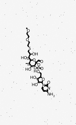 COCCOCCSC[C@@H](O)[C@@H](O)C1O[C@@](C=O)(OP(=O)(O)OCC2OC(n3ccc(N)nc3=O)[C@H](O)[C@@H]2O)C[C@@H](O)[C@H]1C